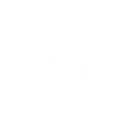 Cc1noc(C)c1-c1cc(C(O)(c2ccc(F)cn2)c2cccc(C(F)(F)F)n2)c2[nH]c(=O)[nH]c2c1